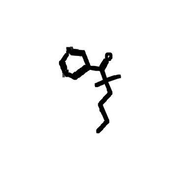 CCCCC(C)(C)C(=O)c1cncnc1